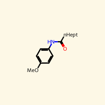 CCCCCCCC(=O)Nc1ccc(OC)cc1